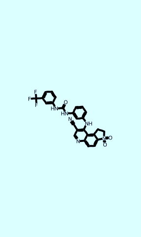 N#Cc1cnc2ccc3c(c2c1Nc1cccc(NC(=O)Nc2cccc(C(F)(F)F)c2)c1)CCS3(=O)=O